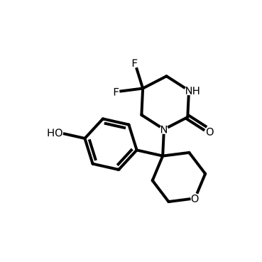 O=C1NCC(F)(F)CN1C1(c2ccc(O)cc2)CCOCC1